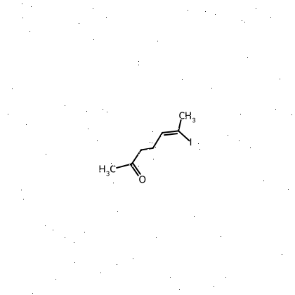 CC(=O)CC/C=C(/C)I